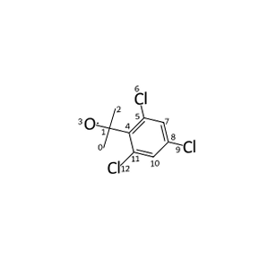 CC(C)([O])c1c(Cl)cc(Cl)cc1Cl